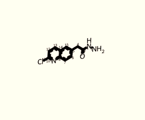 NNC(=O)Cc1ccc2nc(Cl)ccc2c1